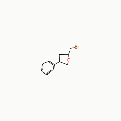 BrCC1CC(c2ccccc2)CO1